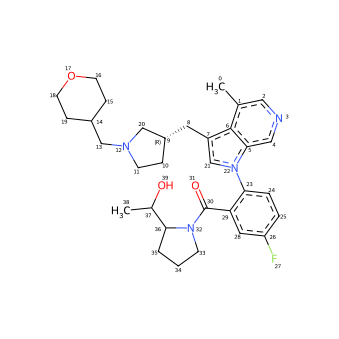 Cc1cncc2c1c(C[C@@H]1CCN(CC3CCOCC3)C1)cn2-c1ccc(F)cc1C(=O)N1CCCC1C(C)O